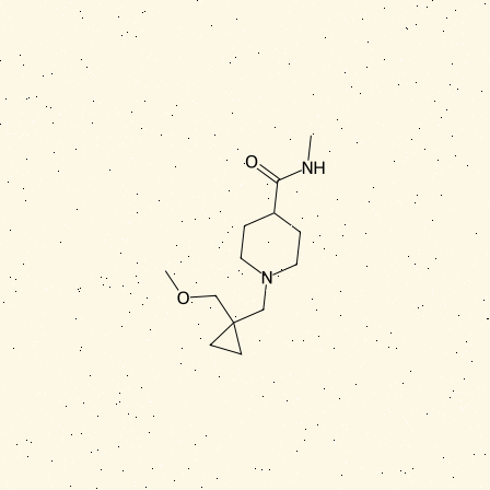 CNC(=O)C1CCN(CC2(COC)CC2)CC1